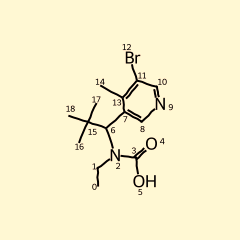 CCN(C(=O)O)C(c1cncc(Br)c1C)C(C)(C)C